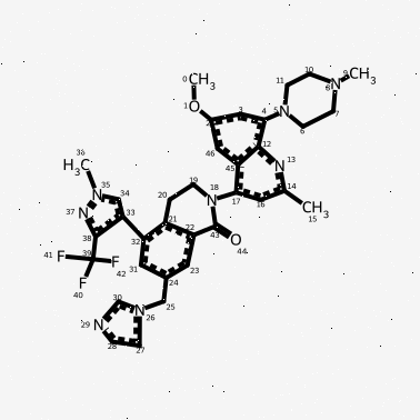 COc1cc(N2CCN(C)CC2)c2nc(C)cc(N3CCc4c(cc(Cn5ccnc5)cc4-c4cn(C)nc4C(F)(F)F)C3=O)c2c1